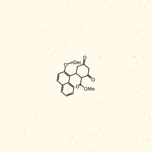 CCCCCCCCCCOc1ccc2ccccc2c1C1CC(=O)CC(=O)C1C(=O)OC